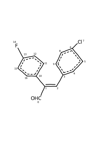 O=CC(=Cc1ccc(Cl)cc1)c1ccc(F)cc1